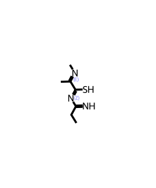 CCC(=N)/N=C(S)/C(C)=N/C